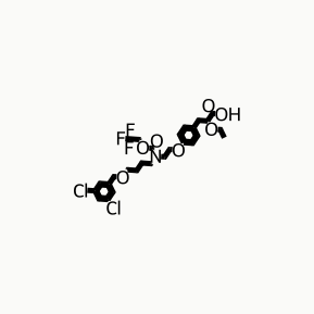 CCOC(Cc1ccc(OCCN(CCCCOCc2cc(Cl)cc(Cl)c2)C(=O)OCC(F)(F)F)cc1)C(=O)O